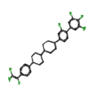 FC(F)=C(F)c1ccc(C2CCC(C3CCC(c4ccc(-c5cc(F)c(F)c(F)c5)c(F)c4)CC3)CC2)cc1